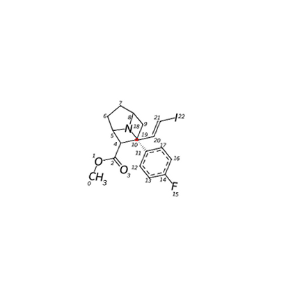 COC(=O)C1C2CCC(C[C@@H]1c1ccc(F)cc1)N2C/C=C/I